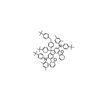 Cc1ccc(N(c2ccc(C(C)(C)C)cc2)c2cc3c(c4c2C2C=CC=CC2O4)-c2c(cc(N(c4ccc(C(C)(C)C)cc4)c4ccc(C)cc4C)c4oc5c(c24)C=CCC5)C3(C2=CC=C(C(C)(C)C)CC2)c2ccc(Cc3ccc(C(C)(C)C)cc3)cc2)c(C)c1